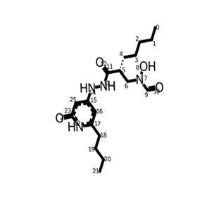 CCCCC[C@H](CN(O)C=O)C(=O)NNc1cc(CCCC)[nH]c(=O)c1